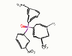 O=[N+]([O-])c1cccc(P(=O)(c2cccc([N+](=O)[O-])c2)c2cc(C(F)(F)F)cc(C(F)(F)F)c2)c1